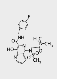 CN(C)C(=O)CN(c1nc(C(=O)NCc2ccc(F)cc2)c(O)c2ncccc12)S(C)(=O)=O